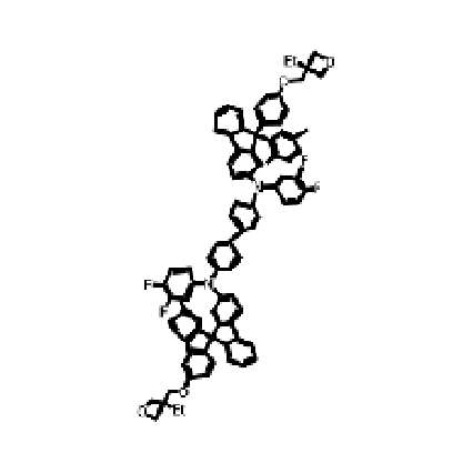 CCC1(COc2ccc(C3(c4cc(C)ccc4C)c4ccccc4-c4ccc(N(c5ccc(-c6ccc(N(c7ccc(F)c(F)c7)c7ccc8c(c7)C(c7ccc(OCC9(CC)COC9)cc7)(c7cc(C)ccc7C)c7ccccc7-8)cc6)cc5)c5ccc(F)c(F)c5)cc43)cc2)COC1